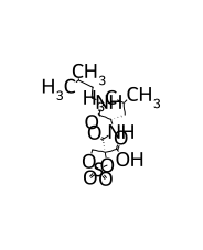 CC(C)CCNC(=O)[C@H](CC(C)C)NC(=O)[C@@]1(C(=O)O)COS(=O)(=O)O1